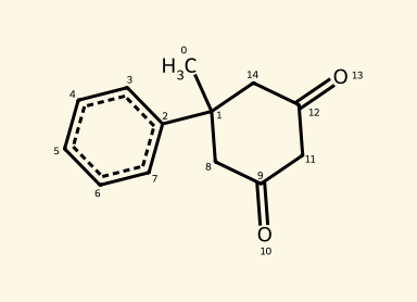 CC1(c2ccccc2)CC(=O)CC(=O)C1